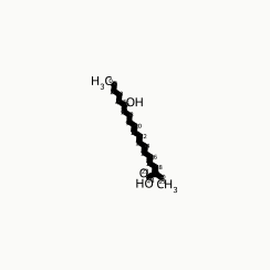 CCCCCC(O)CCCC=CC=CC=CC=CC=C(CC)C(=O)O